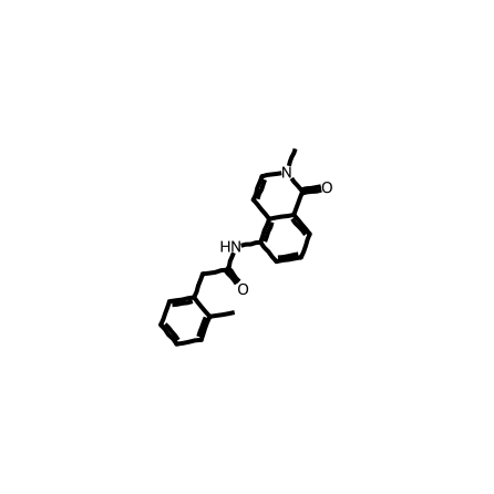 Cc1ccccc1CC(=O)Nc1cccc2c(=O)n(C)ccc12